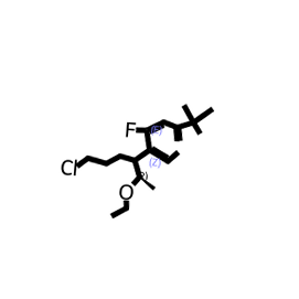 C=C(/C=C(F)\C(=C/C)C(CCCCl)[C@@H](C)OCC)C(C)(C)C